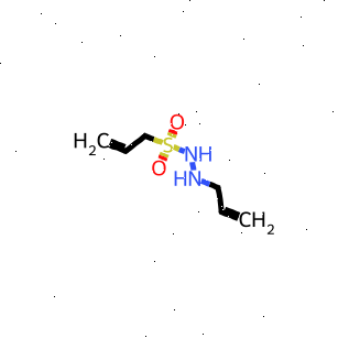 C=CCNNS(=O)(=O)CC=C